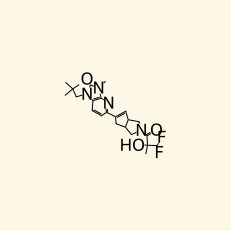 Cn1c(=O)n(CC(C)(C)C)c2ccc(C3=CC4CN(C(=O)C(C)(O)C(F)F)CC4C3)nc21